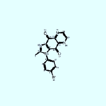 Cc1nc2c(n1-c1ccc(Br)cc1)C(=O)c1nccnc1C2=O